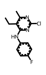 CCc1c(C)nc(Cl)nc1Nc1ccc(F)cc1